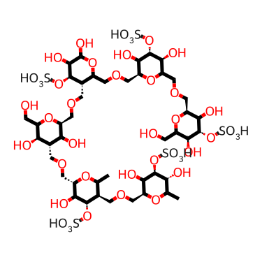 CC1O[C@@H](COC[C@@H]2C(C)O[C@@H](COC[C@H]3C(O)[C@H](COC[C@H]4C(COC[C@@H]5OC(COC[C@@H]6OC(CO)[C@H](O)[C@@H](OS(=O)(=O)O)C6O)[C@H](O)[C@@H](OS(=O)(=O)O)C5O)OC(O)C(O)[C@@H]4OS(=O)(=O)O)OC(CO)[C@@H]3O)C(O)[C@H]2OS(=O)(=O)O)C(O)[C@@H](OS(=O)(=O)O)[C@@H]1O